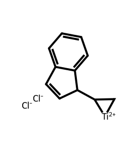 C1=CC([CH]2[CH2][Ti+2]2)c2ccccc21.[Cl-].[Cl-]